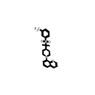 CC(C)(C1CCN(c2cccc3cccnc23)CC1)S(=O)(=O)c1cccc(C(F)(F)F)c1